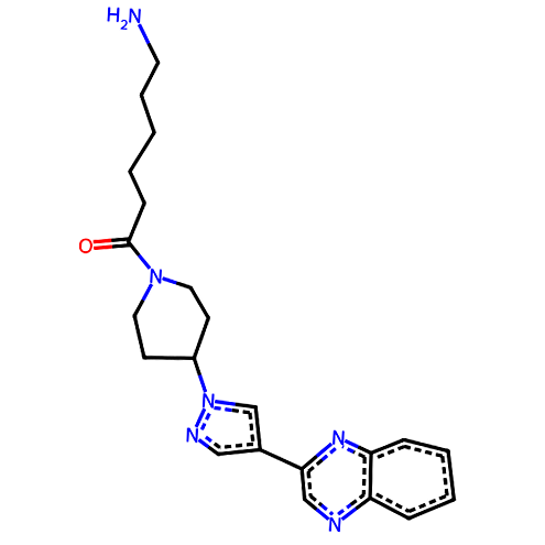 NCCCCCC(=O)N1CCC(n2cc(-c3cnc4ccccc4n3)cn2)CC1